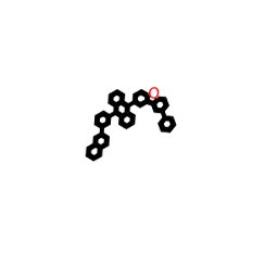 c1ccc(-c2ccc3oc4ccc(-c5c6ccccc6c(-c6cccc(-c7ccc8ccccc8c7)c6)c6ccccc56)cc4c3c2)cc1